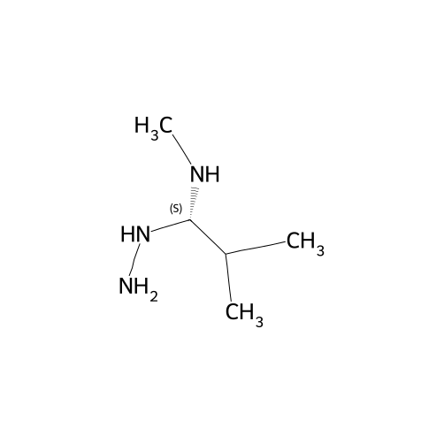 CN[C@@H](NN)C(C)C